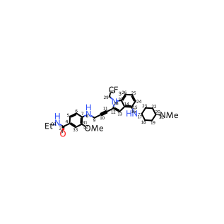 CCNC(=O)c1ccc(NCC#Cc2cc3c(N[C@H]4CC[C@H](NC)CC4)cccc3n2CC(F)(F)F)c(OC)c1